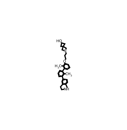 Cc1c(OCCCN2CC3(CC(O)C3)C2)cccc1-c1cccc(-c2ccc3c(c2)CCNC3)c1C